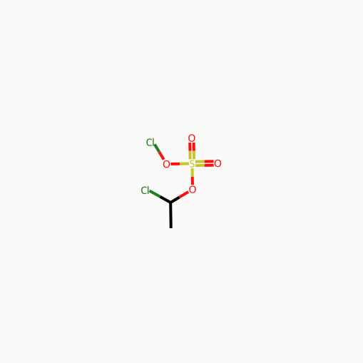 CC(Cl)OS(=O)(=O)OCl